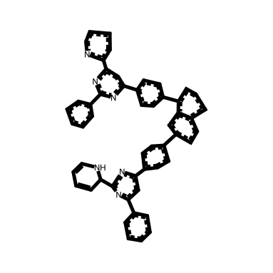 C1=CNC(c2nc(-c3ccccc3)cc(-c3ccc(-c4ccc5cccc(-c6ccc(-c7cc(-c8ccccn8)nc(-c8ccccc8)n7)cc6)c5c4)cc3)n2)C=C1